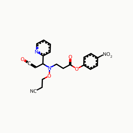 N#CCCON(CCC(=O)Oc1ccc([N+](=O)[O-])cc1)C(C=C=O)c1ccccn1